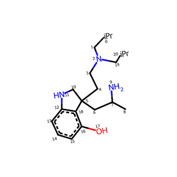 CC(C)CN(CCC1(CC(C)N)CNc2cccc(O)c21)CC(C)C